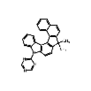 CC1(C)c2ccc3ccccc3c2-c2c1ccc1c2c2ccccc2n1-c1ncncn1